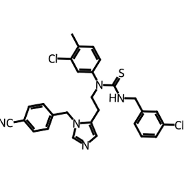 Cc1ccc(N(CCc2cncn2Cc2ccc(C#N)cc2)C(=S)NCc2cccc(Cl)c2)cc1Cl